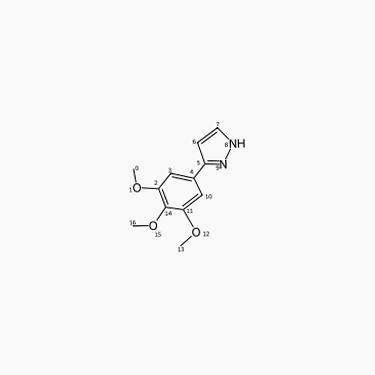 COc1cc(-c2cc[nH]n2)cc(OC)c1OC